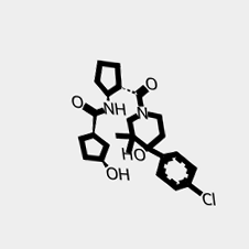 CC1(C)CN(C(=O)[C@H]2CCC[C@H]2NC(=O)[C@@H]2CC[C@H](O)C2)CC[C@]1(O)c1ccc(Cl)cc1